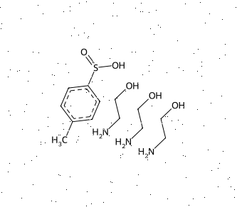 Cc1ccc(S(=O)O)cc1.NCCO.NCCO.NCCO